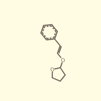 C(=Cc1ccccc1)OC1CCCO1